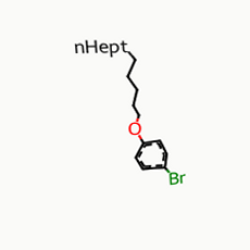 CCCCCCCCCCCCOc1ccc(Br)cc1